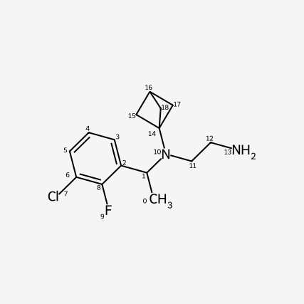 CC(c1cccc(Cl)c1F)N(CCN)C12CC(C1)C2